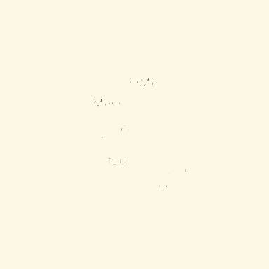 COc1ccc(-c2ccc3c(c2)COC3=O)c(OCC2(CC(C)(C)C)CCC2)c1OC